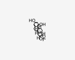 CC1(C)O[C@@H]2[C@@H](C[C@H]3[C@H]4CCc5cc(O)cc(O)c5[C@H]4CC[C@]23C)O1